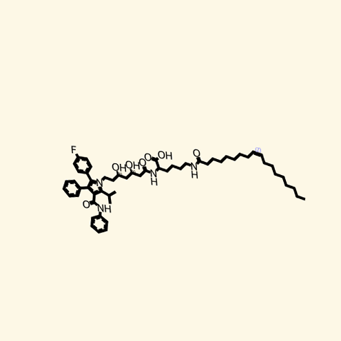 CCCCCCCC/C=C\CCCCCCCC(=O)NCCCCC(NC(=O)C[C@H](O)C[C@H](O)CCn1c(-c2ccc(F)cc2)c(-c2ccccc2)c(C(=O)Nc2ccccc2)c1C(C)C)C(=O)O